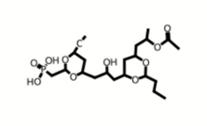 CCCC1OC(CC(O)CC2CC(CC)OC(CP(=O)(O)O)O2)CC(CC(C)OC(C)=O)O1